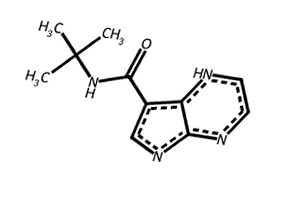 CC(C)(C)NC(=O)c1cnc2ncc[nH]c1-2